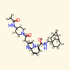 CC(C)C(=O)NC1CCN(C(=O)Cc2cn3c(C(=O)NCC45CCCC(C4)C4CC4C5)cccc3n2)CC1